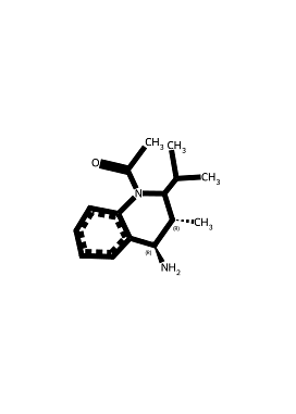 CC(=O)N1c2ccccc2[C@H](N)[C@@H](C)C1C(C)C